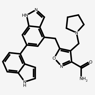 NC(=O)c1noc(Cc2cc(-c3cccc4[nH]ccc34)cc3[nH]ncc23)c1CN1CCCC1